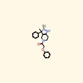 CCN1NC2=C(CN(C(=O)COc3ccccc3)CC2)C1(C)c1ccccc1